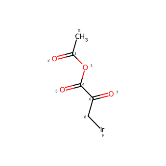 CC(=O)OC(=O)C(=O)[CH2][Ir]